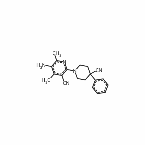 Cc1nc(N2CCC(C#N)(c3ccccc3)CC2)c(C#N)c(C)c1N